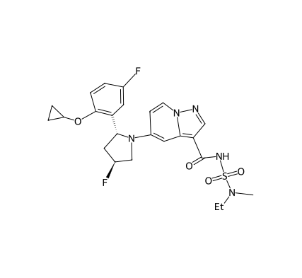 CCN(C)S(=O)(=O)NC(=O)c1cnn2ccc(N3C[C@@H](F)C[C@@H]3c3cc(F)ccc3OC3CC3)cc12